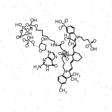 Cc1ccc2c(c1)C(C)(C)/C(=C/C=C1\CCCC(/C=C/C3=[N+](CCCS(=O)(=O)O)c4ccc(S(=O)(=O)O)cc4C3(C)C)=C1NCCC(=O)NCCCCCCOP(=O)(O)OP(=O)(O)OP(=O)(O)OP(=O)(O)OC[C@H]1O[C@@H](n3cnc4c(=O)[nH]c(N)nc43)CC1O)N2CCCS(=O)(=O)O